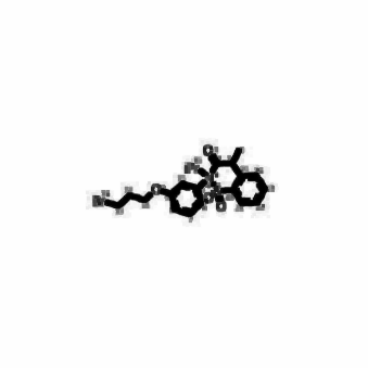 CC1C(=O)[N+](c2cccc(OCCCBr)c2)(C(C)C)S(=O)(=O)c2ccccc21